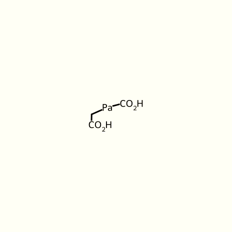 O=C(O)[CH2][Pa][C](=O)O